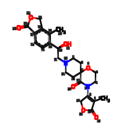 CC1=C(N2CCOC3(CCN(C[C@H](O)c4ccc5c(c4C)COC5=O)CC3)C2=O)COC1=O